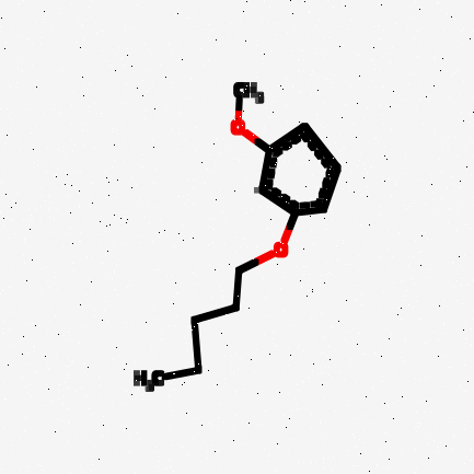 CCCCCOc1[c]c(OC)ccc1